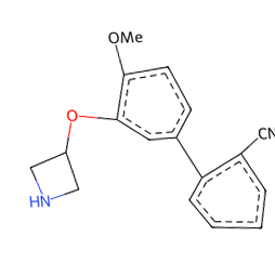 COc1ccc(-c2ccccc2C#N)cc1OC1CNC1